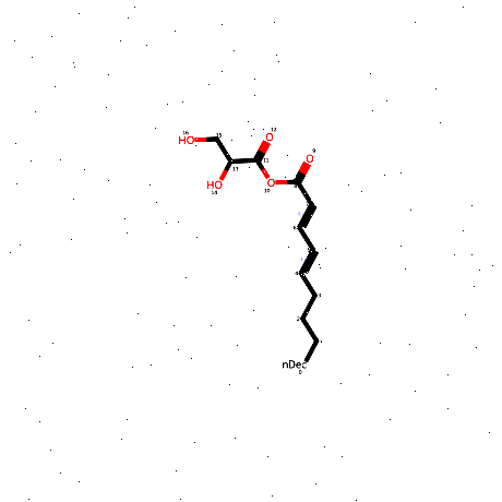 CCCCCCCCCCCCC/C=C/C=C/C(=O)OC(=O)C(O)CO